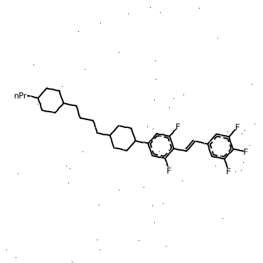 CCCC1CCC(CCCCC2CCC(c3cc(F)c(C=Cc4cc(F)c(F)c(F)c4)c(F)c3)CC2)CC1